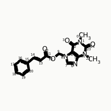 Cn1c(=O)c2c(ncn2COC(=O)C=Cc2ccccc2)n(C)c1=O